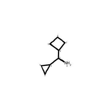 N[C](C1CCC1)C1CC1